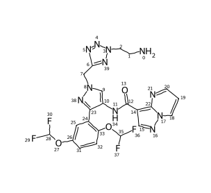 NCCn1nnc(Cn2cc(NC(=O)c3cnn4cccnc34)c(-c3cc(OC(F)F)ccc3OC(F)F)n2)n1